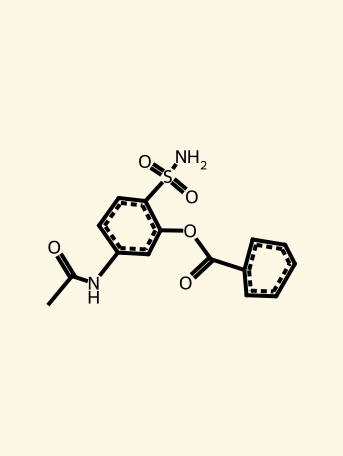 CC(=O)Nc1ccc(S(N)(=O)=O)c(OC(=O)c2ccccc2)c1